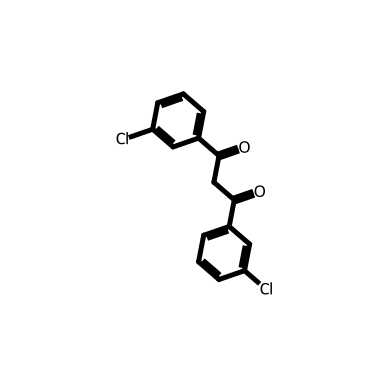 O=C(CC(=O)c1cccc(Cl)c1)c1cccc(Cl)c1